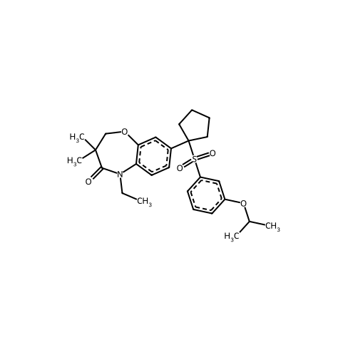 CCN1C(=O)C(C)(C)COc2cc(C3(S(=O)(=O)c4cccc(OC(C)C)c4)CCCC3)ccc21